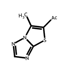 CC(=O)c1sc2ncnn2c1C